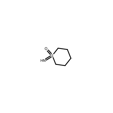 N=S1(=O)CC[CH]CC1